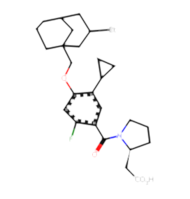 CCC1CC2CCCC(COc3cc(F)c(C(=O)N4CCC[C@H]4CC(=O)O)cc3C3CC3)(C1)C2